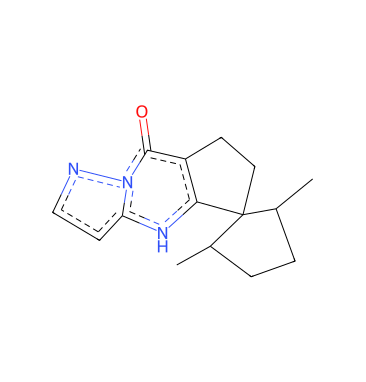 CC1CCC(C)C12CCc1c2[nH]c2ccnn2c1=O